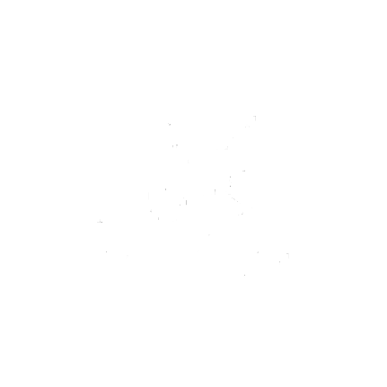 CC1=Cc2c(C(C)C)cccc2[CH]1[Zr]([CH3])([Cl])([Cl])(=[SiH]c1ccccc1)[CH]1C(C)=Cc2c(C(C)C)cccc21